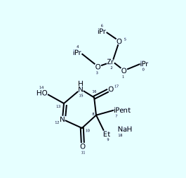 CC(C)[O][Zr]([O]C(C)C)[O]C(C)C.CCCC(C)C1(CC)C(=O)N=C(O)NC1=O.[NaH]